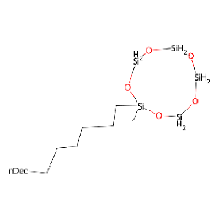 CCCCCCCCCCCCCCCC[Si]1(C)O[SiH2]O[SiH2]O[SiH2]O[SiH2]O1